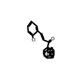 O=C(C=Cc1ccccc1Cl)[C]12[CH]3[CH]4[CH]5[CH]1[Fe]45321678[CH]2[CH]1[CH]6[CH]7[CH]28